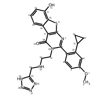 COc1ccc(-c2nc3sc4c(O)cccc4c3c(=O)n2CCNCc2nnn[nH]2)c(C2CC2)c1